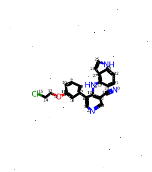 N#Cc1cncc(-c2cccc(OCCCl)c2)c1Nc1cccc2[nH]ccc12